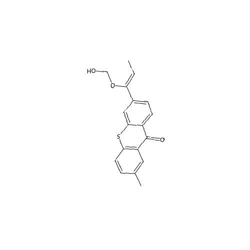 CC=C(OCO)c1ccc2c(=O)c3cc(C)ccc3sc2c1